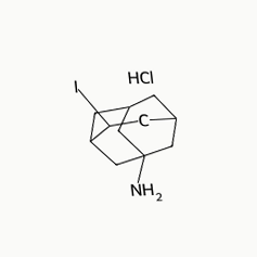 Cl.NC12CC3CC(CC(C1)C(I)C3)C2